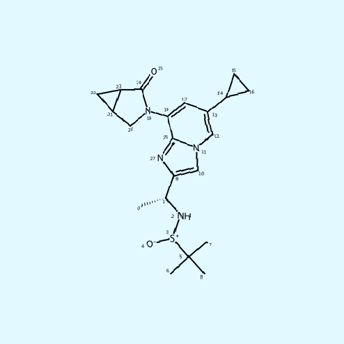 C[C@@H](N[S+]([O-])C(C)(C)C)c1cn2cc(C3CC3)cc(N3CC4CC4C3=O)c2n1